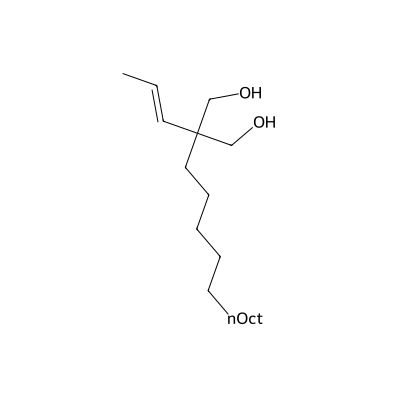 CC=CC(CO)(CO)CCCCCCCCCCCCC